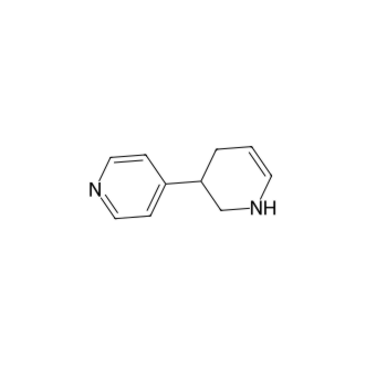 C1=CNCC(c2ccncc2)C1